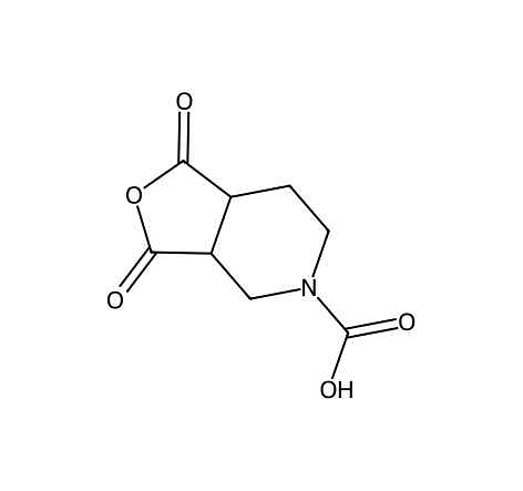 O=C1OC(=O)C2CN(C(=O)O)CCC12